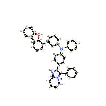 c1ccc(-c2c(-c3ccc(N(c4ccccc4)c4cccc(-c5cccc6c5oc5ccccc56)c4)cc3)nc3ccccn23)cc1